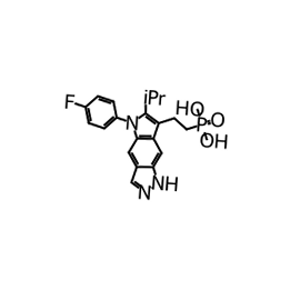 CC(C)c1c(CCP(=O)(O)O)c2cc3[nH]ncc3cc2n1-c1ccc(F)cc1